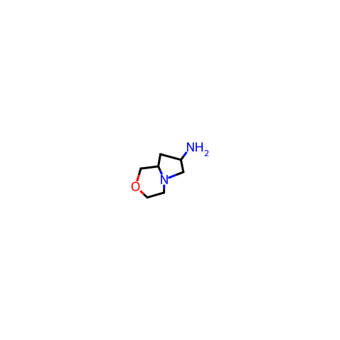 NC1CC2COCCN2C1